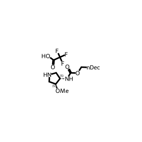 CCCCCCCCCCCOC(=O)N[C@H]1CNC[C@@H]1OC.O=C(O)C(F)(F)F